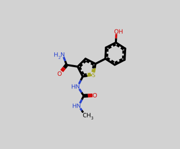 CNC(=O)Nc1sc(-c2cccc(O)c2)cc1C(N)=O